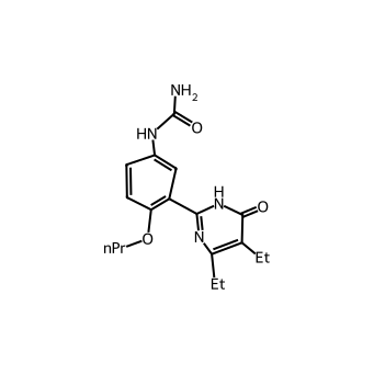 CCCOc1ccc(NC(N)=O)cc1-c1nc(CC)c(CC)c(=O)[nH]1